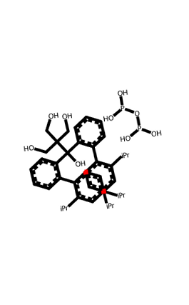 CC(C)c1ccc(-c2ccccc2C(O)(c2ccccc2-c2ccc(C(C)C)cc2C(C)C)C(CO)(CO)CO)c(C(C)C)c1.OP(O)OP(O)O